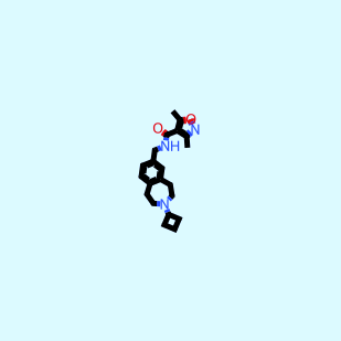 Cc1noc(C)c1C(=O)NCc1ccc2c(c1)CCN(C1CCC1)CC2